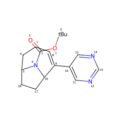 CC(C)(C)OC(=O)N1C2CCC=C(c3cncnc3)C1CC2